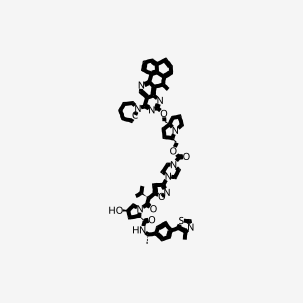 Cc1ncsc1-c1ccc([C@H](C)NC(=O)[C@@H]2C[C@@H](O)CN2C(=O)[C@@H](c2cc(N3CCN(C(=O)OC[C@@H]4CC[C@@]5(COc6nc(N7CCCCCC7)c7cnc8c(c7n6)C(C)c6cccc7cccc-8c67)CCCN45)CC3)no2)C(C)C)cc1